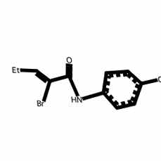 CCC=C(Br)C(=O)Nc1ccc(Cl)cc1